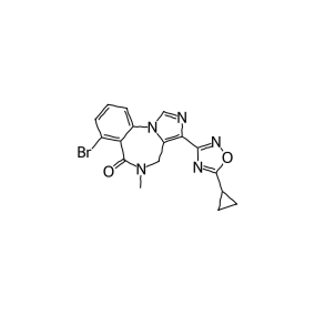 CN1Cc2c(-c3noc(C4CC4)n3)ncn2-c2cccc(Br)c2C1=O